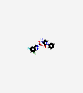 N[C@]1(OC(=O)NCc2cc(F)cc(Cl)c2)CCN(c2ccccc2)C1=O